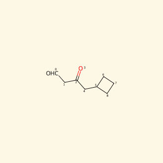 O=CCC(=O)CC1CCC1